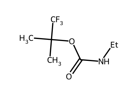 [CH2]CNC(=O)OC(C)(C)C(F)(F)F